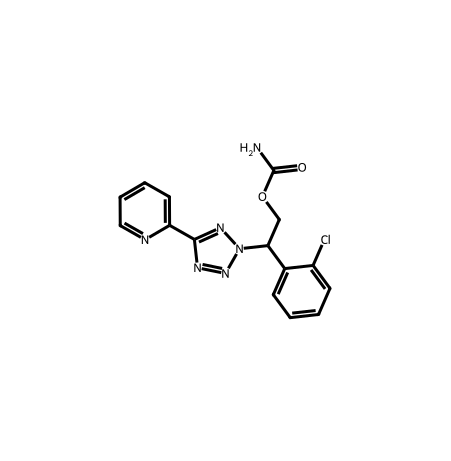 NC(=O)OCC(c1ccccc1Cl)n1nnc(-c2ccccn2)n1